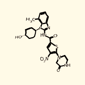 Cc1cccc2nc(NC(=O)c3cc([N+](=O)[O-])c(N4CCNC(=O)C4)s3)n([C@H]3CC[C@H](O)CC3)c12